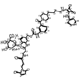 O=C(CCN1C(=O)C=CC1=O)NCCC(=O)Nc1cc(COC(=O)Nc2cccc(C(=O)N3CCC(CCCCNc4c(Nc5ccncc5)c(=O)c4=O)CC3)c2)ccc1O[C@@H]1O[C@H](C(=O)O)[C@@H](O)[C@H](O)[C@H]1O